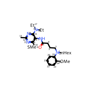 CCCCCCN(CCCC(=O)Nc1c(SC)nc(C)nc1N(CC)CC)c1ccccc1OC